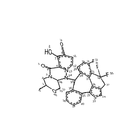 CC1CN2C(=O)c3c(O)c(=O)ccn3N(C3c4ccccc4-c4scc5c4-c4c3ccc(F)c4C(F)(F)C5)C2CO1